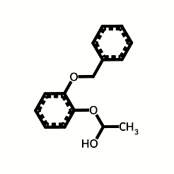 CC(O)Oc1ccccc1OCc1ccccc1